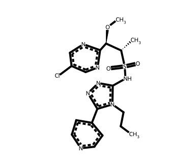 CCCn1c(NS(=O)(=O)[C@@H](C)[C@H](OC)c2ncc(Cl)cn2)nnc1-c1ccncc1